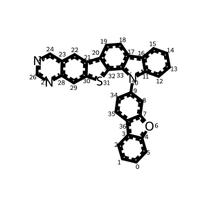 c1ccc2c(c1)oc1cc(-n3c4ccccc4c4ccc5c6cc7cncnc7cc6sc5c43)ccc12